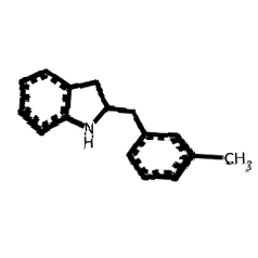 Cc1cccc(CC2Cc3ccccc3N2)c1